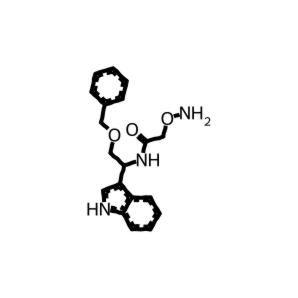 NOCC(=O)NC(COCc1ccccc1)c1c[nH]c2ccccc12